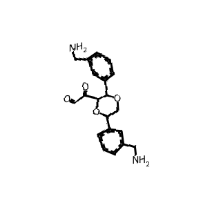 NCc1cccc(C2COC(c3cccc(CN)c3)C(C(=O)C=O)O2)c1